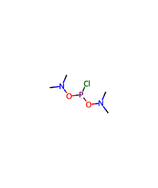 CN(C)OP(Cl)ON(C)C